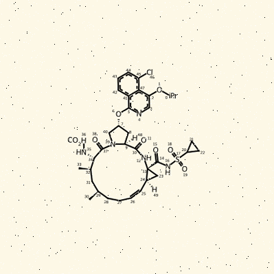 CC(C)Oc1cnc(O[C@@H]2C[C@H]3C(=O)N[C@]4(C(=O)NS(=O)(=O)C5CC5)C[C@H]4C=CCC[C@@H](C)C[C@@H](C)[C@H](NC(=O)O)C(=O)N3C2)c2cccc(Cl)c12